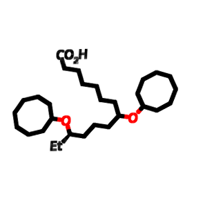 CC[C@H](CCCC(CCCCCCC(=O)O)OC1CCCCCCC1)OC1CCCCCCC1